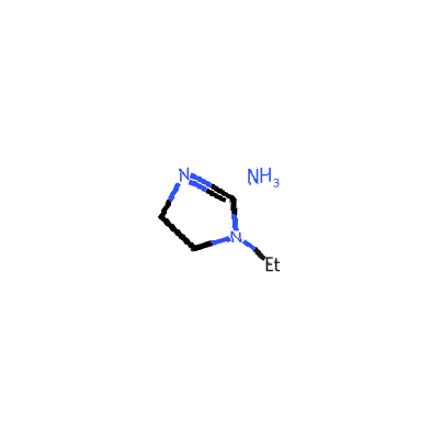 CCN1C=NCC1.N